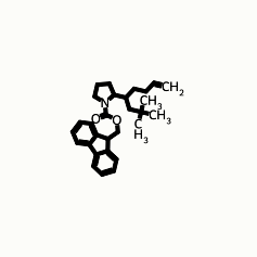 C=CCCC(CC(C)(C)C)C1CCCN1C(=O)OCC1c2ccccc2-c2ccccc21